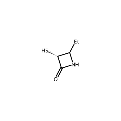 CCC1NC(=O)[C@@H]1S